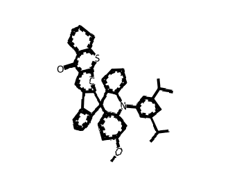 COc1ccc2c(c1)N(c1cc(C(C)C)cc(C(C)C)c1)c1ccccc1C21c2ccccc2-c2cc3c(=O)c4ccccc4sc3cc21